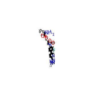 CC(C)C(N)C(=O)OC[C@H]1CN(c2ccc(-c3ccc(-c4nnn(C)n4)nc3)c(F)c2)C(=O)O1